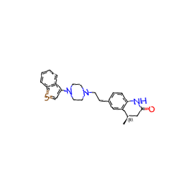 C[C@@H]1CC(=O)Nc2ccc(CCN3CCN(c4csc5ccccc45)CC3)cc21